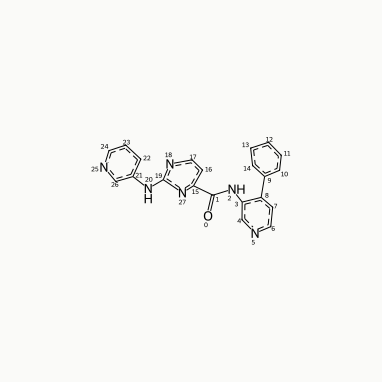 O=C(Nc1cnccc1-c1ccccc1)c1ccnc(Nc2cccnc2)n1